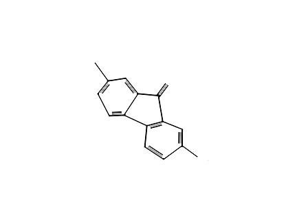 CCCCc1ccc2c(c1)C(=O)c1cc(C(=O)O)ccc1-2